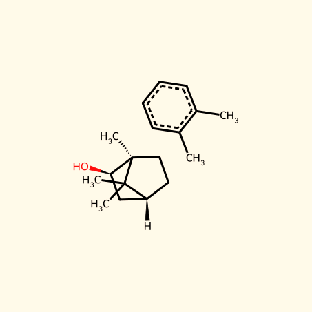 CC1(C)[C@@H]2CC[C@]1(C)[C@H](O)C2.Cc1ccccc1C